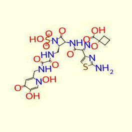 Nc1nc(C(=NOC2(C(=O)O)CCC2)C(=O)N[C@@H]2C(=O)N(S(=O)(=O)O)[C@@H]2CNC(=O)C(=O)NCc2cc(=O)c(O)cn2O)cs1